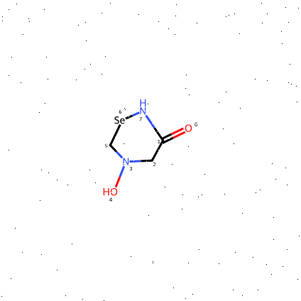 O=C1CN(O)C[Se]N1